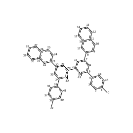 Cc1ccc(-c2cc(-c3ccc4ccccc4c3)cc(-c3cc(-c4ccc5ccccc5c4)cc(-c4ccc(C)cc4)n3)n2)cc1